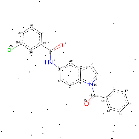 O=C(Nc1ccc2c(ccn2C(=O)c2ccccc2)c1)c1cccc(Cl)c1